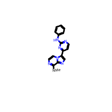 CNc1nccn2c(-c3ccnc(Nc4ccccc4)n3)cnc12